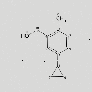 Cc1ccc(C2CC2)cc1[CH]O